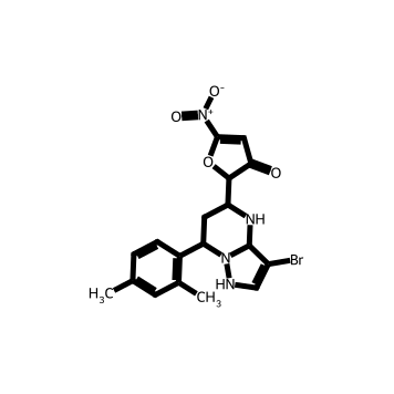 Cc1ccc(C2CC(C3OC([N+](=O)[O-])=CC3=O)NC3C(Br)=CNN32)c(C)c1